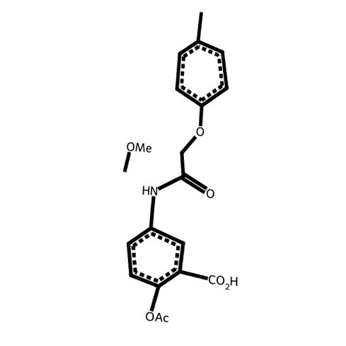 CC(=O)Oc1ccc(NC(=O)COc2ccc(C)cc2)cc1C(=O)O.COC